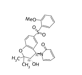 COc1ccccc1S(=O)(=O)c1ccc2c(c1)[C@@H](n1ccccc1=O)[C@H](O)C(C)(C)O2